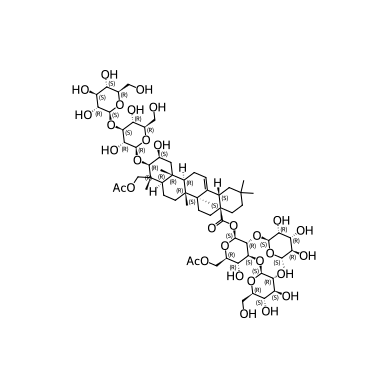 CC(=O)OC[C@H]1O[C@@H](OC(=O)[C@]23CCC(C)(C)C[C@H]2C2=CC[C@@H]4[C@@]5(C)C[C@H](O)[C@H](O[C@@H]6O[C@H](CO)[C@@H](O)[C@H](O[C@@H]7O[C@H](CO)[C@@H](O)[C@H](O)[C@H]7O)[C@H]6O)[C@@](C)(COC(C)=O)[C@@H]5CC[C@@]4(C)[C@]2(C)CC3)[C@H](O[C@@H]2O[C@@H](C)[C@H](O)[C@@H](O)[C@H]2O)[C@@H](O[C@@H]2O[C@H](CO)[C@@H](O)[C@H](O)[C@H]2O)[C@@H]1O